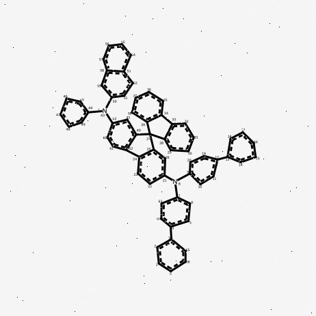 c1ccc(-c2ccc(N(c3ccc(-c4ccccc4)cc3)c3ccc4c(c3)C3(c5ccccc5-c5ccccc53)c3cc(N(c5ccccc5)c5ccc6ccccc6c5)ccc3-4)cc2)cc1